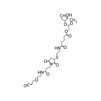 CCC(CO)OC(COC(=O)CCCC(=O)NCCSC1CC(=O)N(CCC(=O)NCCOCC=C=O)C1=O)OC